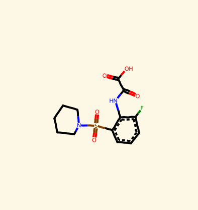 O=C(O)C(=O)Nc1c(F)cccc1S(=O)(=O)N1CCCCC1